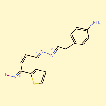 Nc1ccc(C/C=N/N=C/C=C\C(=N/I)c2cccs2)cc1